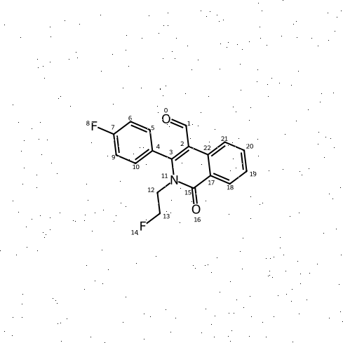 O=Cc1c(-c2ccc(F)cc2)n(CCF)c(=O)c2ccccc12